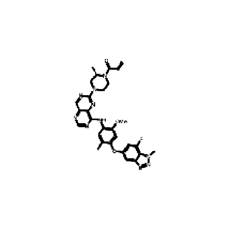 C=CC(=O)N1CCN(c2ncc3ncnc(Nc4cc(C)c(Oc5cc(F)c6c(c5)nnn6C)cc4OC)c3n2)C[C@H]1C